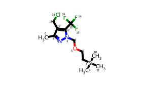 Cc1nn(COCC[Si](C)(C)C)c(C(F)(F)F)c1CCl